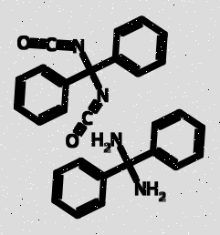 NC(N)(c1ccccc1)c1ccccc1.O=C=NC(N=C=O)(c1ccccc1)c1ccccc1